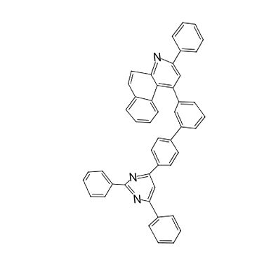 c1ccc(-c2cc(-c3ccc(-c4cccc(-c5cc(-c6ccccc6)nc6ccc7ccccc7c56)c4)cc3)nc(-c3ccccc3)n2)cc1